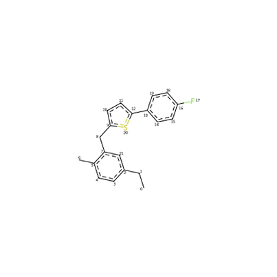 CCc1ccc(C)c(Cc2ccc(-c3ccc(F)cc3)s2)c1